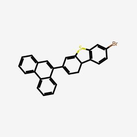 Brc1ccc2c(c1)SC1=CC(c3cc4ccccc4c4ccccc34)=CCC12